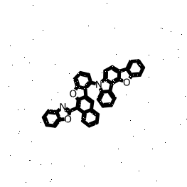 c1ccc2c(-c3nc4ccccc4o3)c3oc4cccc(-n5c6ccccc6c6c7oc8ccccc8c7ccc65)c4c3cc2c1